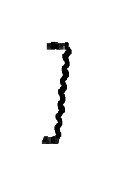 CCCCCC=CCC=CCC=CCC=CCCCCOC(C)=O